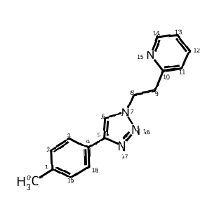 Cc1ccc(-c2cn(CCc3ccccn3)nn2)cc1